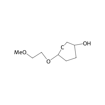 COCCOC1CCC(O)CC1